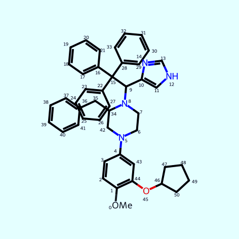 COc1ccc(N2CCN(C(c3c[nH]cn3)C(c3ccccc3)(c3ccccc3)c3ccccc3)C(Cc3ccccc3)C2)cc1OC1CCCC1